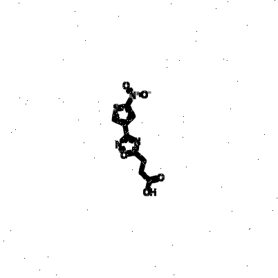 O=C(O)CCc1nc(-c2csc([N+](=O)[O-])c2)no1